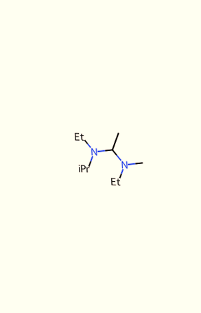 CCN(C)C(C)N(CC)C(C)C